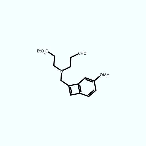 CCOC(=O)CCN(CCC=O)CC1=Cc2ccc(OC)cc21